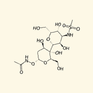 CC(=O)NO[C@@H]1C[C@@H](O)[C@@](O)([C@@H]2O[C@H](CO)[C@H](O)[C@@H](NS(C)(=O)=O)[C@H]2O)[C@@H](CO)O1